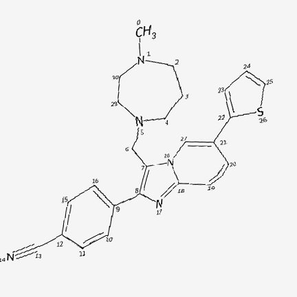 CN1CCCN(Cc2c(-c3ccc(C#N)cc3)nc3ccc(-c4cccs4)cn23)CC1